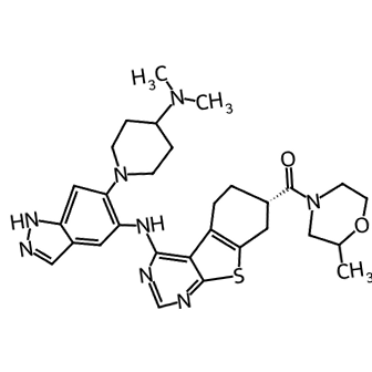 CC1CN(C(=O)[C@H]2CCc3c(sc4ncnc(Nc5cc6cn[nH]c6cc5N5CCC(N(C)C)CC5)c34)C2)CCO1